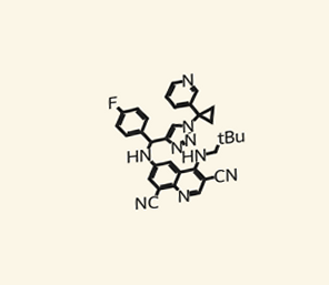 CC(C)(C)CNc1c(C#N)cnc2c(C#N)cc(NC(c3ccc(F)cc3)c3cn(C4(c5cccnc5)CC4)nn3)cc12